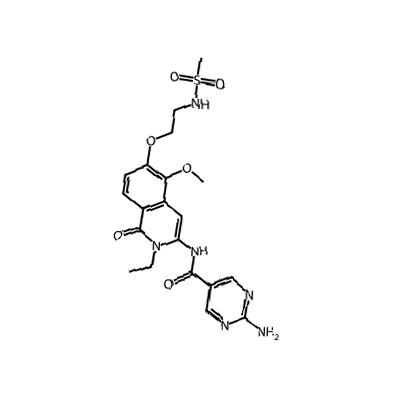 CCn1c(NC(=O)c2cnc(N)nc2)cc2c(OC)c(OCCNS(C)(=O)=O)ccc2c1=O